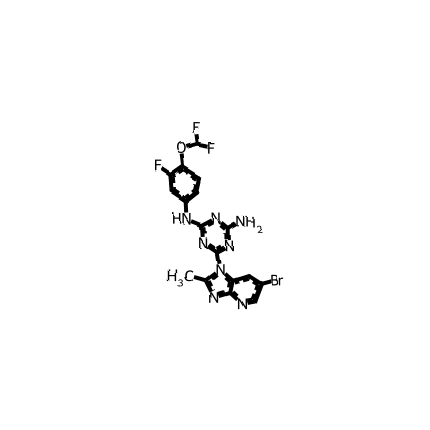 Cc1nc2ncc(Br)cc2n1-c1nc(N)nc(Nc2ccc(OC(F)F)c(F)c2)n1